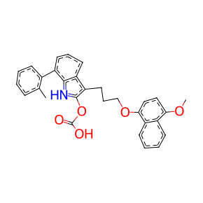 COc1ccc(OCCCc2c(OC(=O)O)[nH]c3c(-c4ccccc4C)cccc23)c2ccccc12